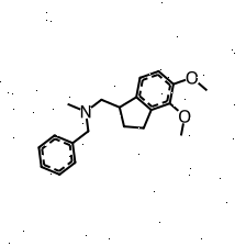 COc1ccc2c(c1OC)CCC2CN(C)Cc1ccccc1